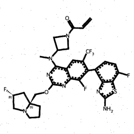 C=CC(=O)N1CC(N(C)c2nc(OC[C@@]34CCCN3C[C@H](F)C4)nc3c(F)c(-c4ccc(F)c5sc(N)nc45)c(C(F)(F)F)cc23)C1